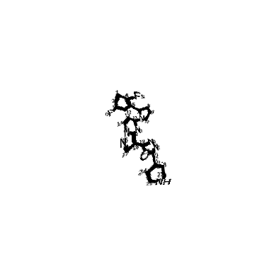 Fc1ccc(F)c(C2CCCN2c2ccn3ncc(-c4nnc(C5CCNCC5)o4)c3n2)c1